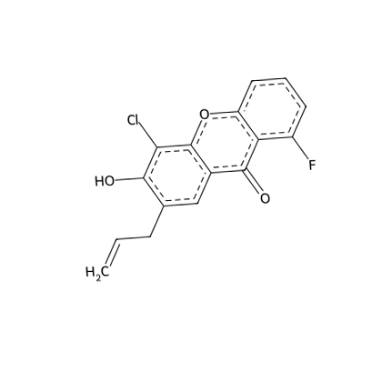 C=CCc1cc2c(=O)c3c(F)cccc3oc2c(Cl)c1O